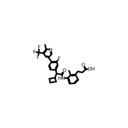 Cc1ncc(-c2ccc(C(C(=O)Nc3cccc(CCC(=O)O)c3C)C3CCC3)cc2F)cc1C(F)(F)F